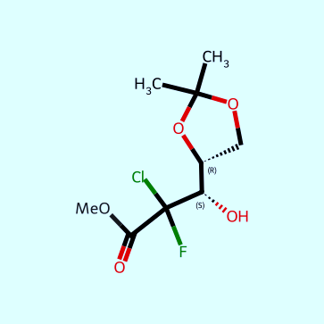 COC(=O)C(F)(Cl)[C@@H](O)[C@H]1COC(C)(C)O1